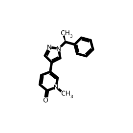 C[C@@H](c1ccccc1)n1cc(-c2ccc(=O)n(C)c2)cn1